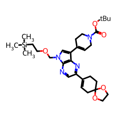 CC(C)(C)OC(=O)N1CC=C(c2cn(COCC[Si](C)(C)C)c3ncc(C4=CCC5(CC4)OCCO5)nc23)CC1